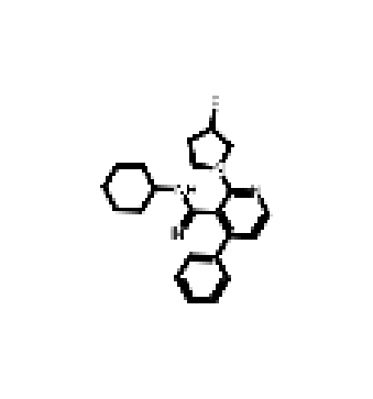 N=C(NC1CCCCC1)c1c(-c2ccccc2)ccnc1N1CCC(F)C1